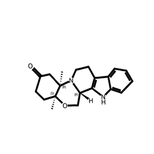 C[C@@]12CC(=O)CC[C@]1(C)OC[C@H]1c3[nH]c4ccccc4c3CCN12